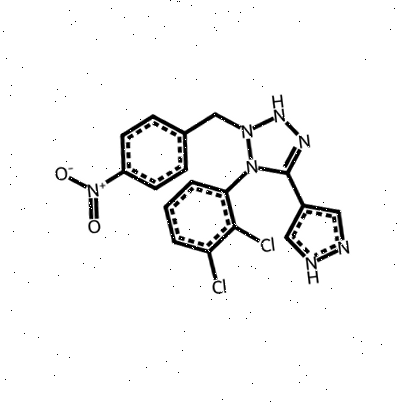 O=[N+]([O-])c1ccc(CN2NN=C(c3cn[nH]c3)N2c2cccc(Cl)c2Cl)cc1